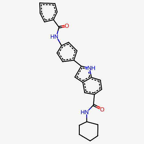 O=C(Nc1ccc(-c2cc3cc(C(=O)NC4CCCCC4)ccc3[nH]2)cc1)c1ccccc1